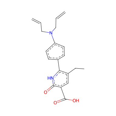 C=CCN(CC=C)c1ccc(-c2[nH]c(=O)c(C(=O)O)cc2CC)cc1